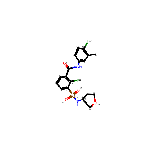 Cc1cc(NC(=O)c2cccc(S(=O)(=O)N[C@H]3CCOC3)c2F)ccc1F